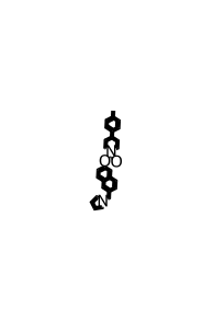 Cc1ccc(C2CCN(C(=O)Oc3ccc4cc(CN5CCCC5)ccc4c3)CC2)cc1